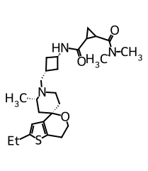 CCc1cc2c(s1)CCO[C@@]21CCN(C[C@H]2C[C@@H](NC(=O)C3CC3C(=O)N(C)C)C2)[C@@H](C)C1